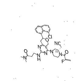 C=C(F)C(=O)N1CCN(c2nc(NCCC(=O)N(C)C)nc3c2COC(c2cccc4cccc(Cl)c24)C3)C[C@@H]1CC#N